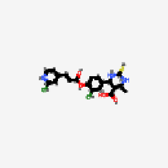 CC1=C(C(=O)O)C(c2ccc(OC(=O)C=Cc3ccnc(Cl)c3)c(Cl)c2)NC(=S)N1